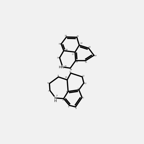 c1cc2c3c(c1)NCCCC3CCC2.c1cc2c3c(cccc3c1)CNC2